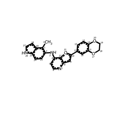 Cc1c(Nc2ccnc3cc(-c4ccc5c(c4)OCCO5)oc23)ccc2[nH]ccc12